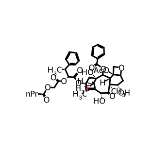 CCCC(=O)OCC(=O)O[C@@H](C(=O)O[C@H]1C[C@@]2(O)C(OC(=O)c3ccccc3)[C@H]3[C@](C)(C(=O)[C@H](O)C(=C1C)C2(C)C)[C@@H](O)CC1OC[C@]13OC(C)=O)[C@@H](C)c1ccccc1